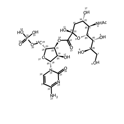 CC(=O)N[C@H]1[C@H]([C@H](O)[C@H](O)CO)O[C@](O)(C(=O)O[C@H]2[C@@H](O)[C@H](n3ccc(N)nc3=O)O[C@@H]2[14CH2]OP(=O)(O)O)C[C@@H]1O